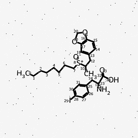 CCCCCCCC[S+]([O-])C(C)Cc1ccc2c(c1)OCO2.N[C@@H](Cc1ccc(I)cc1)C(=O)O